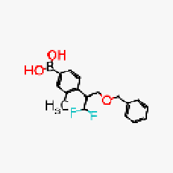 Cc1cc(B(O)O)ccc1C(COCc1ccccc1)C(F)F